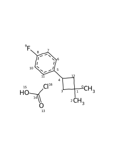 CC1(C)CC(c2ccc(F)cc2)C1.O=C(O)Cl